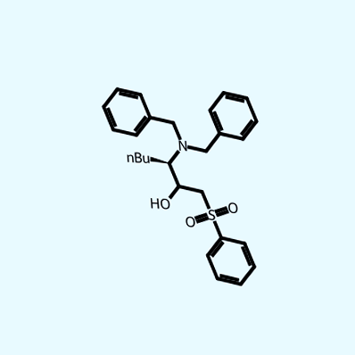 CCCC[C@H](C(O)CS(=O)(=O)c1ccccc1)N(Cc1ccccc1)Cc1ccccc1